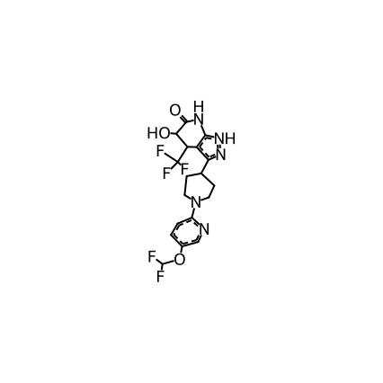 O=C1Nc2[nH]nc(C3CCN(c4ccc(OC(F)F)cn4)CC3)c2C(C(F)(F)F)C1O